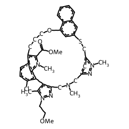 COCCn1nc2c(c1C)-c1c(Cl)ccc3c(c(C(=O)OC)n(C)c13)CCCOc1cc(cc3ccccc13)SCc1cc(nn1C)CN(C)C2